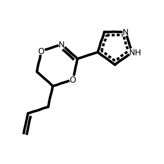 C=CCC1CON=C(c2cn[nH]c2)O1